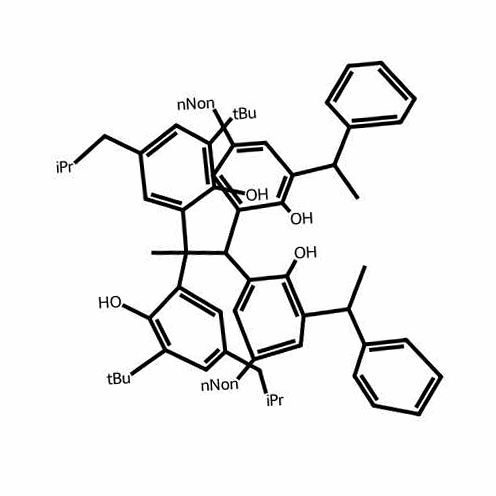 CCCCCCCCCc1cc(C(C)c2ccccc2)c(O)c(C(c2cc(CCCCCCCCC)cc(C(C)c3ccccc3)c2O)C(C)(c2cc(CC(C)C)cc(C(C)(C)C)c2O)c2cc(CC(C)C)cc(C(C)(C)C)c2O)c1